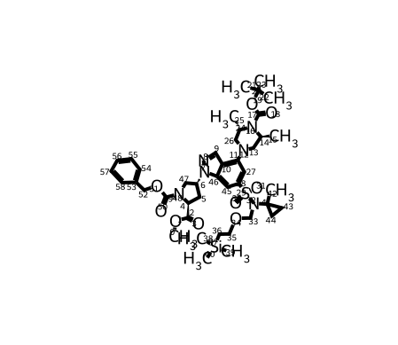 COC(=O)[C@@H]1C[C@@H](n2ncc3c(N4C[C@H](C)N(C(=O)OC(C)(C)C)[C@@H](C)C4)cc(S(=O)(=O)N(COCC[Si](C)(C)C)C4(C)CC4)cc32)CN1C(=O)OCc1ccccc1